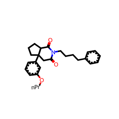 CCCOc1cccc(C23CCCC2C(=O)N(CCCCc2ccccc2)C(=O)C3)c1